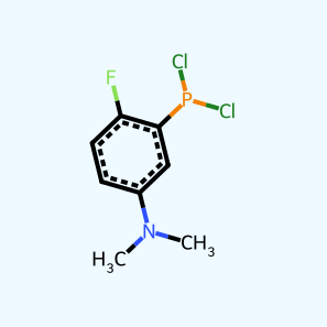 CN(C)c1ccc(F)c(P(Cl)Cl)c1